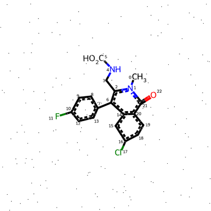 Cn1c(CNC(=O)O)c(-c2ccc(F)cc2)c2cc(Cl)ccc2c1=O